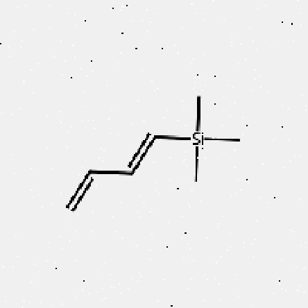 C=CC=C[Si](C)(C)C